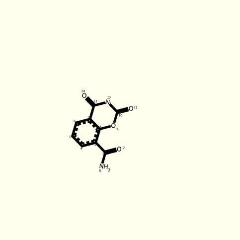 NC(=O)c1cccc2c1OC(=O)[N]C2=O